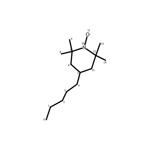 CCCCCC1CC(C)(C)N([O])C(C)(C)C1